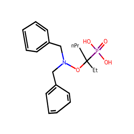 CCCC(CC)(ON(Cc1ccccc1)Cc1ccccc1)P(=O)(O)O